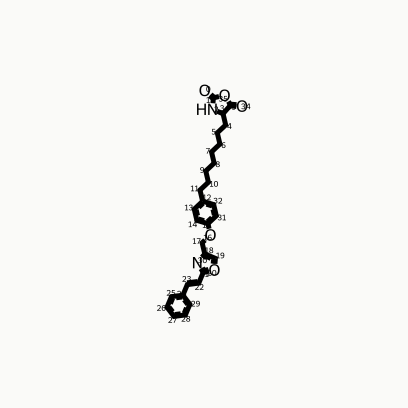 O=C1NC(CCCCCCCCc2ccc(OCc3coc(C=Cc4ccccc4)n3)cc2)C(=O)O1